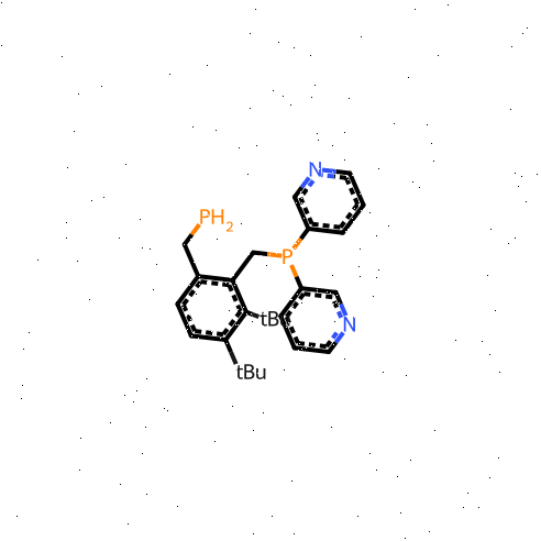 CC(C)(C)c1ccc(CP)c(CP(c2cccnc2)c2cccnc2)c1C(C)(C)C